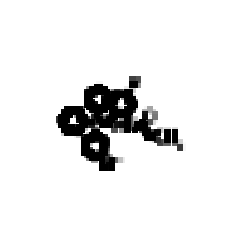 C=CC(=O)Nc1cc(F)ccc1C[P+](c1ccccc1)(c1ccccc1)c1ccccc1.[Br-]